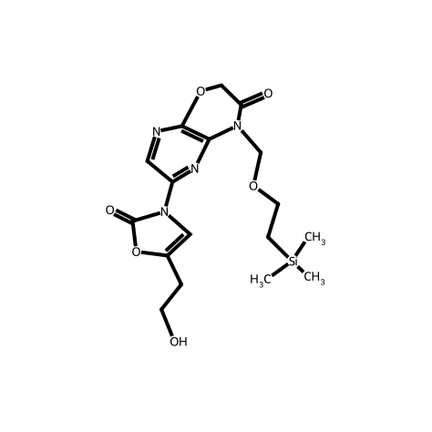 C[Si](C)(C)CCOCN1C(=O)COc2ncc(-n3cc(CCO)oc3=O)nc21